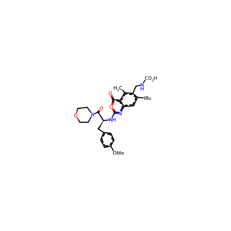 COc1ccc(C[C@H](Nc2nc3cc(C(C)(C)C)c(CNC(=O)O)c(C)c3c(=O)o2)C(=O)N2CCOCC2)cc1